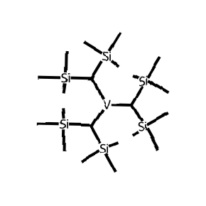 C[Si](C)(C)[CH]([V]([CH]([Si](C)(C)C)[Si](C)(C)C)[CH]([Si](C)(C)C)[Si](C)(C)C)[Si](C)(C)C